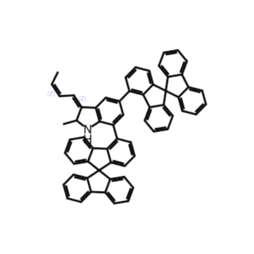 C/C=C\C=C1\c2cc(-c3cccc4c3-c3ccccc3C43c4ccccc4-c4ccccc43)cc(-c3cccc4c3-c3ccccc3C43c4ccccc4-c4ccccc43)c2NC1C